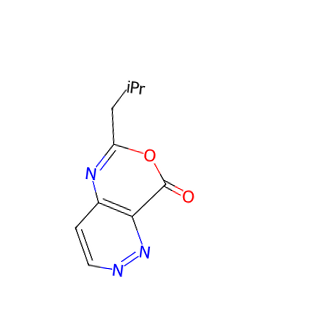 CC(C)Cc1nc2ccnnc2c(=O)o1